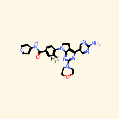 Cc1cc(C(=O)Nc2ccncc2)ccc1N1CCc2c(-c3cnc(N)nc3)nc(N3CCOCC3)nc21